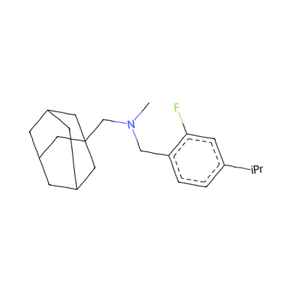 CC(C)c1ccc(CN(C)CC23CC4CC(CC(C4)C2)C3)c(F)c1